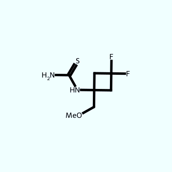 COCC1(NC(N)=S)CC(F)(F)C1